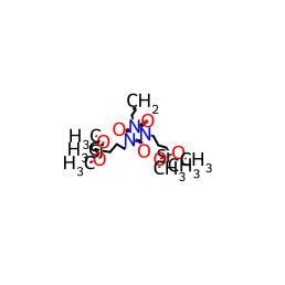 C=CCn1c(=O)n(CCC[Si](C)(OC)OC)c(=O)n(CCC[Si](C)(OC)OC)c1=O